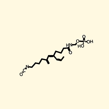 C=C(/C=C(\C=C/C)CCCC(=O)NCOP(=O)(O)O)CCCCN=C=O